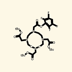 CC(C)(C)OC(=O)CN1CCN(CC(=O)Oc2c(F)c(F)cc(F)c2F)CCN(CC(=O)OC(C)(C)C)CCN(CC(=O)OC(C)(C)C)CC1